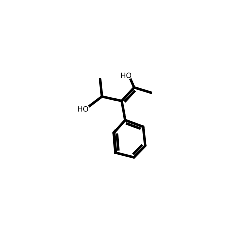 C/C(O)=C(\c1ccccc1)C(C)O